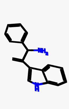 C=C(c1c[nH]c2ccccc12)C(N)c1ccccc1